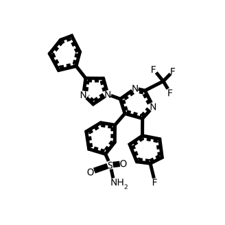 NS(=O)(=O)c1cccc(-c2c(-c3ccc(F)cc3)nc(C(F)(F)F)nc2-n2cnc(-c3ccccc3)c2)c1